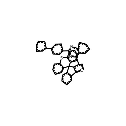 c1ccc(-c2ccc(-c3nc(-c4cccc5c4C4(c6ccccc6Sc6ccccc64)c4ccccc4-5)c4ccccc4n3)cc2)cc1